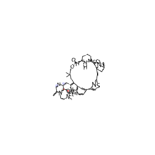 C=C(/C=N\C(=C\c1c2c3cc(ccc3n1CC)-c1csc(n1)CC1(CC3=C[N+]31C(C)=O)C(=O)N1CCC[C@H](N1)C(=O)OCC(C)(C)C2)[C@H](C)OC)N1CCN(C)CC1